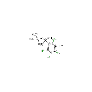 CC(C)(C)CC(C)(C)c1c(F)c(F)c(F)c(F)c1F